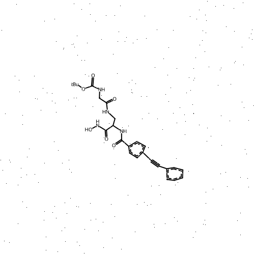 CC(C)(C)OC(=O)NCC(=O)NCC(NC(=O)c1ccc(C#Cc2ccccc2)cc1)C(=O)NO